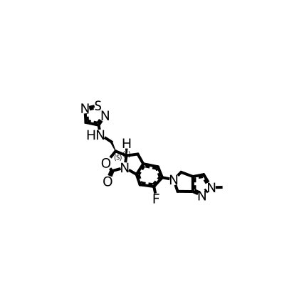 Cn1cc2c(n1)CN(c1cc3c(cc1F)N1C(=O)O[C@@H](CNc4cnsn4)[C@@H]1C3)C2